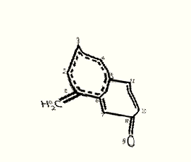 C=c1cccc2c1=CC(=O)C=C2